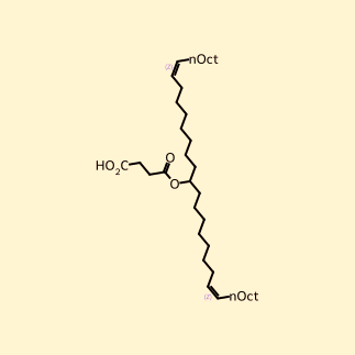 CCCCCCCC/C=C\CCCCCCCC(CCCCCCC/C=C\CCCCCCCC)OC(=O)CCC(=O)O